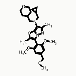 COCc1cc(OC)c(-c2c(C)oc3c(N(CC4CCOCC4)CC4CC4)c(C)nn23)c(OC)c1